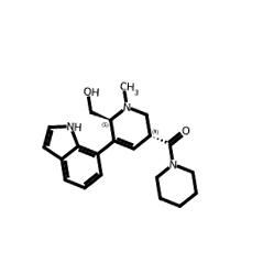 CN1C[C@H](C(=O)N2CCCCC2)C=C(c2cccc3cc[nH]c23)[C@H]1CO